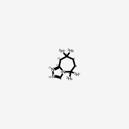 [2H]C1([2H])CCC([2H])([2H])n2cnnc2C1